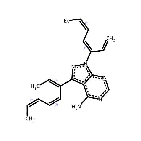 C=C/C(=C\C=C/CC)n1nc(C(/C=C\C=C/C)=C/C)c2c(N)ncnc21